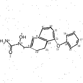 NC(=O)N(O)CC1=Cc2cccc(Oc3ccccc3)c2CC1